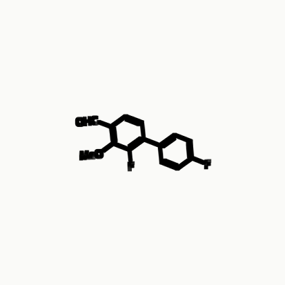 COc1c(C=O)ccc(-c2ccc(F)cc2)c1F